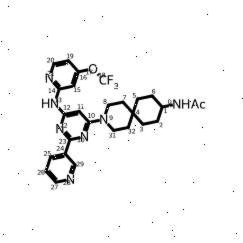 CC(=O)NC1CCC2(CC1)CCN(c1cc(Nc3cc(OC(F)(F)F)ccn3)nc(-c3cccnc3)n1)CC2